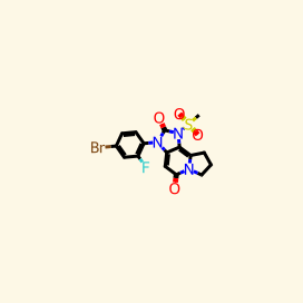 CS(=O)(=O)n1c(=O)n(-c2ccc(Br)cc2F)c2cc(=O)n3c(c21)CCC3